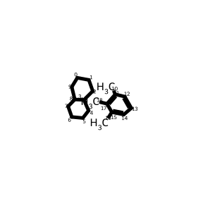 C1CCC2CCCCC2C1.Cc1cccc(C)c1C